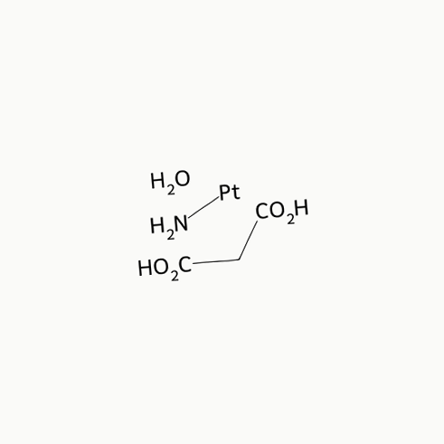 O.O=C(O)CC(=O)O.[NH2][Pt]